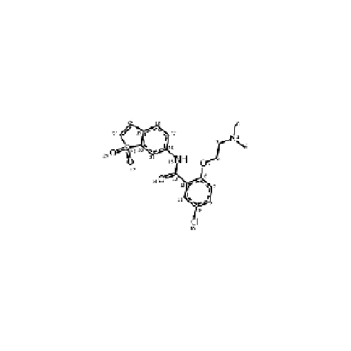 CN(C)CCOc1ccc(Cl)cc1C(=O)Nc1ccc2c(c1)S(=O)(=O)C=C2